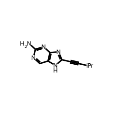 CC(C)C#Cc1nc2nc(N)ncc2[nH]1